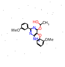 COc1cccc(-c2nc(N)c(Oc3ccccc3OC)c(OC(C)O)n2)c1